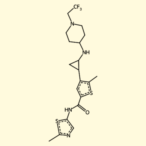 Cc1ncc(NC(=O)c2cc(C3CC3NC3CCN(CC(F)(F)F)CC3)c(C)s2)s1